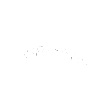 CC(C)(C(=O)Nc1cnc(C#N)c(C(F)(F)F)c1)n1cc(C#CC2CN(c3ccc4c(c3)C(=O)N(C3CC(=O)NC3=O)C4=O)C2)cn1